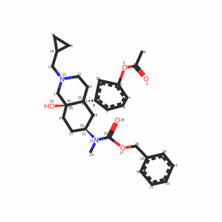 CC(=O)Oc1cccc([C@@]23CCN(CC4CC4)C[C@@]2(O)CC[C@H](N(C)C(=O)OCc2ccccc2)C3)c1